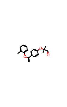 C=C(Oc1ccccc1C)c1ccc(OC(C)(C)C=O)cc1